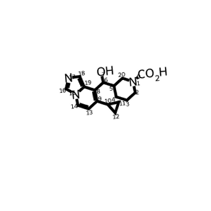 O=C(O)N1CCCC(C(O)c2c(C3CC3)ccn3cncc23)C1